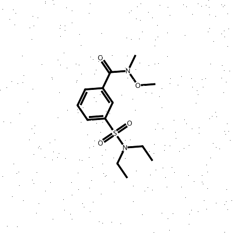 CCN(CC)S(=O)(=O)c1cccc(C(=O)N(C)OC)c1